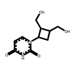 O=c1ccn(C2CC(CO)C2CO)c(=O)[nH]1